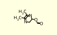 CC1C(C)N2CCN1CC2OC=O